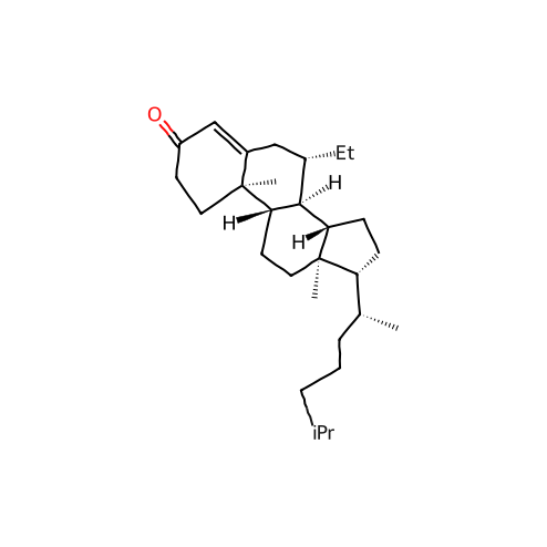 CC[C@H]1CC2=CC(=O)CC[C@]2(C)[C@H]2CC[C@]3(C)[C@@H]([C@H](C)CCCC(C)C)CC[C@H]3[C@H]12